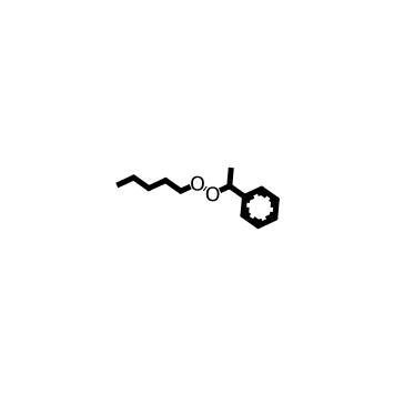 CCCCCOOC(C)c1ccccc1